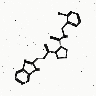 O=C(NCc1ccccc1Br)[C@@H]1CCCN1C(=O)CCc1nc2ccccc2[nH]1